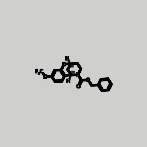 O=C(OCc1ccccc1)N1CC[C@H]2C[C@@H]1c1ccc(OC(F)(F)F)cc1O2